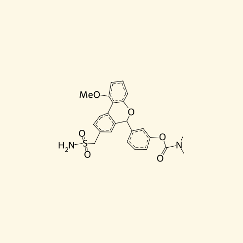 COc1cccc2c1-c1ccc(CS(N)(=O)=O)cc1C(c1cccc(OC(=O)N(C)C)c1)O2